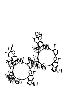 [2H]C([2H])([2H])C1(c2cccc(CC(C)C(=O)O)c2)CCCC(C([2H])([2H])[2H])(C([2H])([2H])[2H])CS(=O)(=O)CCc2c(c(F)cc3[nH]ccc23)Oc2ccc(F)c(c2)-c2nc1nn2C.[2H]C([2H])([2H])C1(c2cccc(CC(C)C(=O)OCC)c2)CCCC(C([2H])([2H])[2H])(C([2H])([2H])[2H])CS(=O)(=O)CCc2c(c(F)cc3[nH]ccc23)Oc2ccc(F)c(c2)-c2nc1nn2C